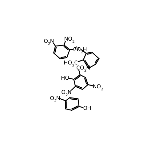 CC(=O)c1ccccc1C(=O)O.O=C(O)c1cc([N+](=O)[O-])cc([N+](=O)[O-])c1O.O=C(O)c1cccc([N+](=O)[O-])c1[N+](=O)[O-].O=[N+]([O-])c1ccc(O)cc1